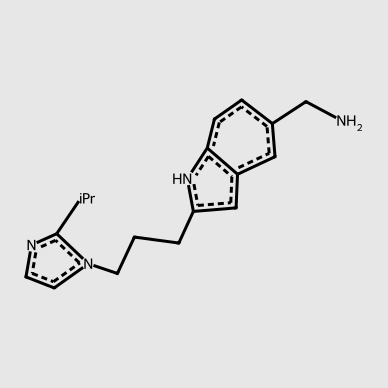 CC(C)c1nccn1CCCc1cc2cc(CN)ccc2[nH]1